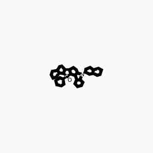 O=P1(c2ccccc2)c2c(ccc3ccccc23)-c2ccc3c(c21)c1ccccc1n3-c1ccc2ccccc2c1